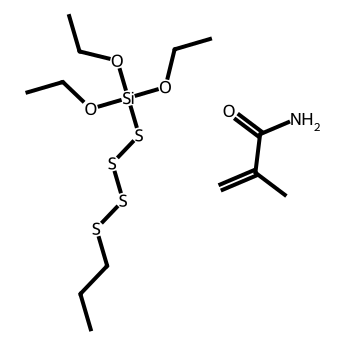 C=C(C)C(N)=O.CCCSSSS[Si](OCC)(OCC)OCC